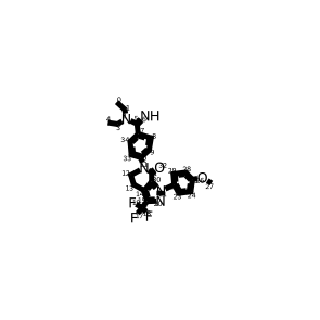 CCN(CC)C(=N)c1ccc(N2CCc3c(C(F)(F)F)nn(-c4ccc(OC)cc4)c3C2=O)cc1